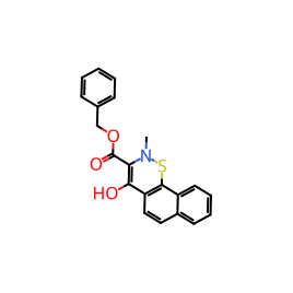 CN1Sc2c(ccc3ccccc23)C(O)=C1C(=O)OCc1ccccc1